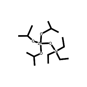 CC[Si](CC)(CC)[O][Zr]([O]C(C)C)([O]C(C)C)[O]C(C)C